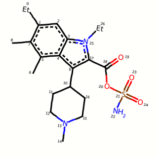 CCc1cc2c(c(C)c1C)c(C1CCN(C)CC1)c(C(=O)OS(N)(=O)=O)n2CC